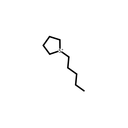 CCCCC[S+]1CCCC1